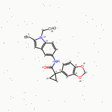 CC(C)(C)c1cc2cc(NC(=O)C3(c4ccc5c(c4)OCO5)CC3)ccc2n1CC=O